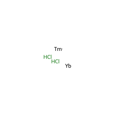 Cl.Cl.[Tm].[Yb]